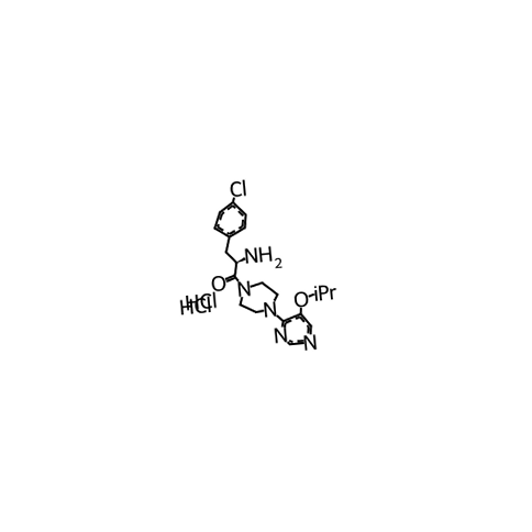 CC(C)Oc1cncnc1N1CCN(C(=O)[C@H](N)Cc2ccc(Cl)cc2)CC1.Cl.Cl